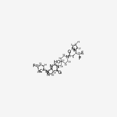 Cc1cnn([C@H](CC(=O)N2CCC(O)(Cn3cnc4c(cnn4-c4ccc(F)cc4)c3=O)CC2)C(F)F)c1